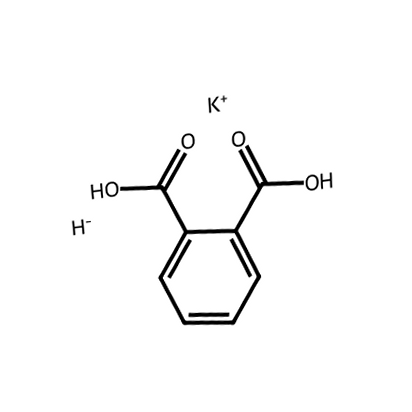 O=C(O)c1ccccc1C(=O)O.[H-].[K+]